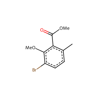 COC(=O)c1c(C)ccc(Br)c1OC